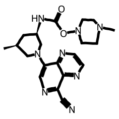 C[C@H]1C[C@@H](NC(=O)ON2CCN(C)CC2)CN(c2cnc(C#N)c3nccnc23)C1